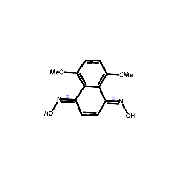 COc1ccc(OC)c2c1/C(=N/O)C=C/C2=N\O